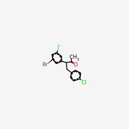 CC(=O)C(Cc1ccc(Cl)cc1)c1cc(F)cc(Br)c1